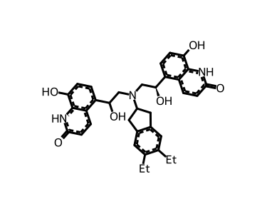 CCc1cc2c(cc1CC)CC(N(CC(O)c1ccc(O)c3[nH]c(=O)ccc13)C[C@H](O)c1ccc(O)c3[nH]c(=O)ccc13)C2